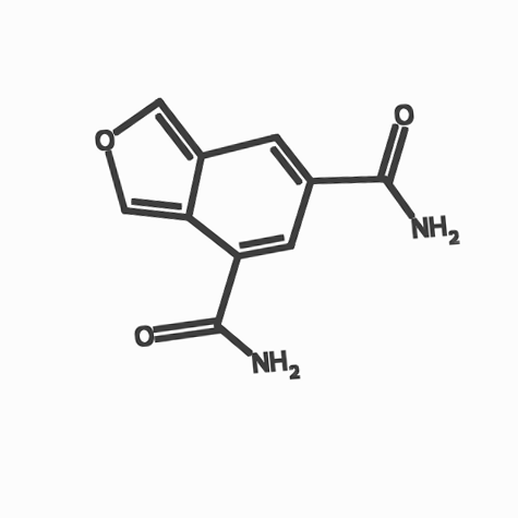 NC(=O)c1cc(C(N)=O)c2cocc2c1